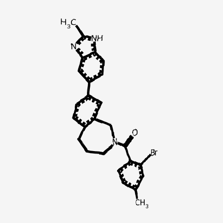 Cc1ccc(C(=O)N2CCCc3ccc(-c4ccc5[nH]c(C)nc5c4)cc3C2)c(Br)c1